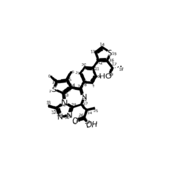 Cc1sc2c(c1C)C(c1ccc(-c3ccsc3[C@H](C)O)cc1)=NC(C(C)C(=O)O)c1nnc(C)n1-2